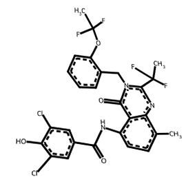 Cc1ccc(NC(=O)c2cc(Cl)c(O)c(Cl)c2)c2c(=O)n(Cc3ccccc3OC(C)(F)F)c(C(C)(F)F)nc12